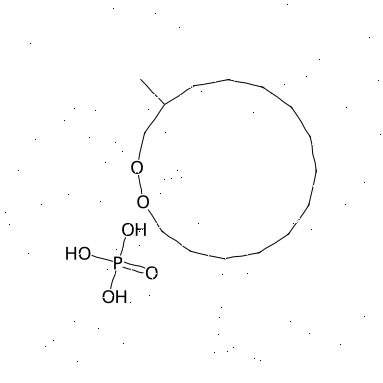 CC1CCCCCCCCCCCCOOC1.O=P(O)(O)O